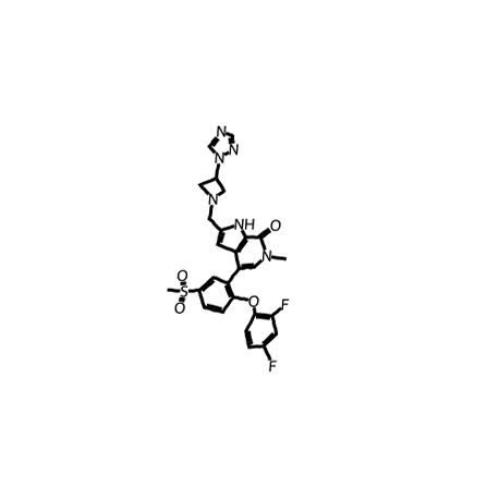 Cn1cc(-c2cc(S(C)(=O)=O)ccc2Oc2ccc(F)cc2F)c2cc(CN3CC(n4cncn4)C3)[nH]c2c1=O